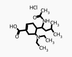 CCN(CC)C1CC(C(=O)O)=CCC1C(CC(C)C)NC(C)=O.Cl